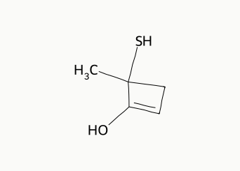 CC1(S)CC=C1O